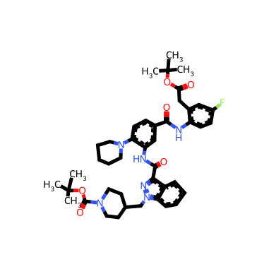 CC(C)(C)OC(=O)Cc1cc(F)ccc1NC(=O)c1ccc(N2CCCCC2)c(NC(=O)c2nn(CC3CCN(C(=O)OC(C)(C)C)CC3)c3ccccc23)c1